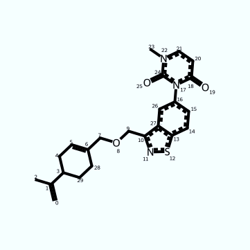 C=C(C)C1CC=C(COCc2nsc3ccc(-n4c(=O)ccn(C)c4=O)cc23)CC1